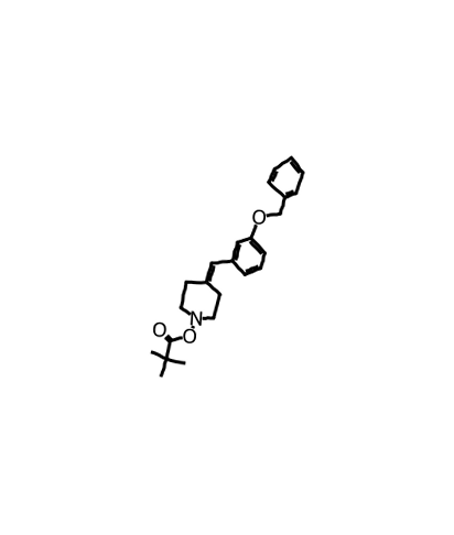 CC(C)(C)C(=O)ON1CCC(=Cc2cccc(OCc3ccccc3)c2)CC1